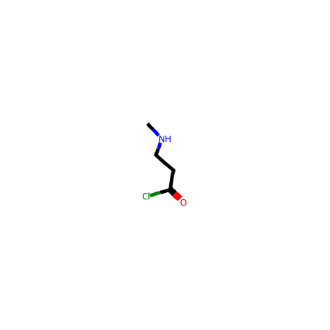 CNCCC(=O)Cl